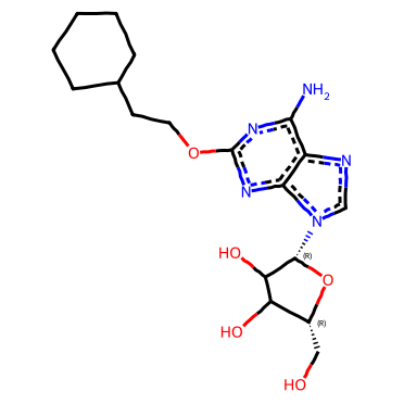 Nc1nc(OCCC2CCCCC2)nc2c1ncn2[C@@H]1O[C@H](CO)C(O)C1O